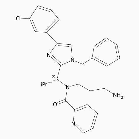 CC(C)[C@H](c1nc(-c2cccc(Cl)c2)cn1Cc1ccccc1)N(CCCN)C(=O)c1ccccn1